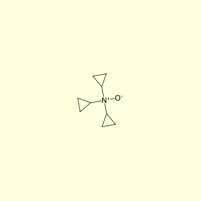 [O-][N+](C1CC1)(C1CC1)C1CC1